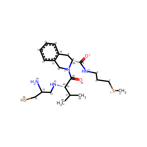 CSCCCNC(=O)[C@H]1Cc2ccccc2CN1C(=O)[C@@H](NCC(N)CS)C(C)C